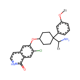 CCOc1cccc(C2(C(N)CC)CCC(Oc3cc4cc[nH]c(=O)c4cc3Cl)CC2)c1